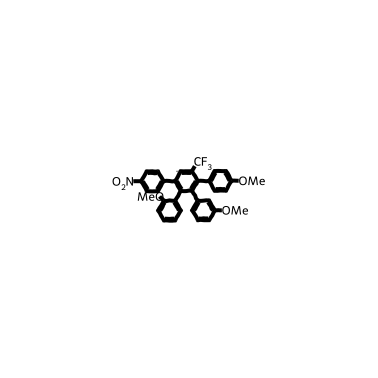 COc1ccc(-c2c(C(F)(F)F)[c]c(-c3ccc([N+](=O)[O-])cc3)c(-c3ccccc3OC)c2-c2cccc(OC)c2)cc1